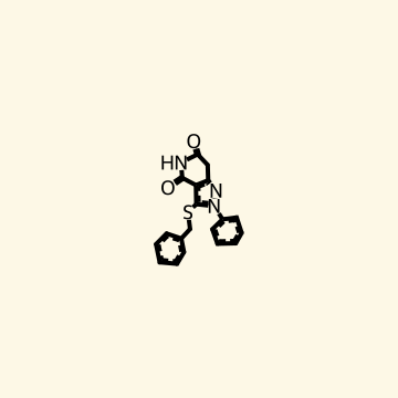 O=C1Cc2nn(-c3ccccc3)c(SCc3ccccc3)c2C(=O)N1